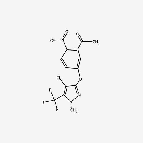 CC(=O)c1cc(Oc2nn(C)c(C(F)(F)F)c2Cl)ccc1[N+](=O)[O-]